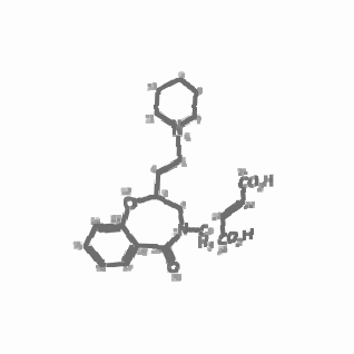 CN1CC(CCN2CCCCC2)Oc2ccccc2C1=O.O=C(O)/C=C/C(=O)O